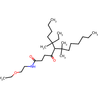 CCCCCCC(C)(C)C(C(=O)CCC(=O)NCCOCC)C(C)(CC)CCCC